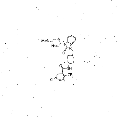 CNc1cnc(-n2c(=O)n(CC3CCC(NC(=O)c4cc(Cl)cnc4C(F)(F)F)CC3)c3ccccc32)cn1